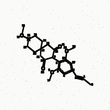 CC#Cc1cc(OC)c(C2C(=O)CC3(CCN(OC)CC3)CC2=O)c(OC)c1